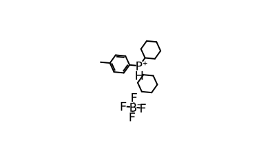 Cc1ccc([PH+](C2CCCCC2)C2CCCCC2)cc1.F[B-](F)(F)F